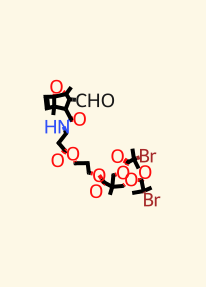 CC(C)(Br)C(=O)OCC(C)(COC(=O)C(C)(C)Br)C(=O)OCCCOC(=O)CCNC(=O)C1C(C=O)C2(C)OC23C=CC13C